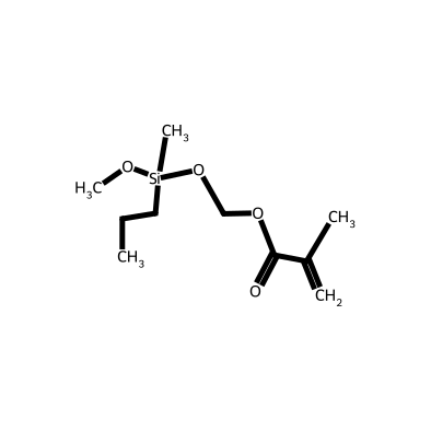 C=C(C)C(=O)OCO[Si](C)(CCC)OC